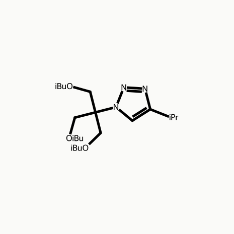 CC(C)COCC(COCC(C)C)(COCC(C)C)n1cc(C(C)C)nn1